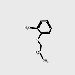 Cc1ccccc1OC[SiH2][SiH3]